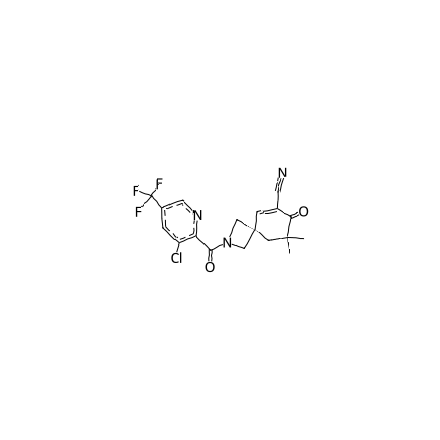 CC1(C)CC2(C=C(C#N)C1=O)CN(C(=O)c1ncc(C(F)(F)F)cc1Cl)C2